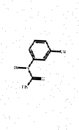 CCN(C([NH])=O)c1cccc(C#N)c1